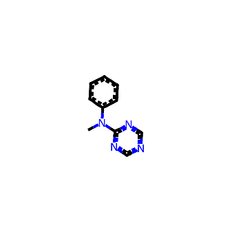 CN(c1ccccc1)c1ncncn1